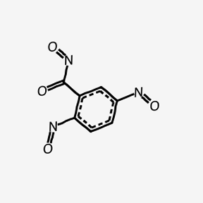 O=NC(=O)c1cc(N=O)ccc1N=O